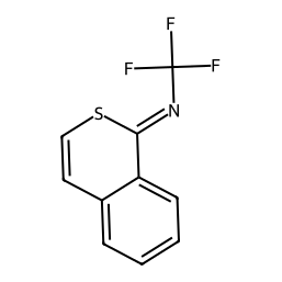 FC(F)(F)N=c1sccc2ccccc12